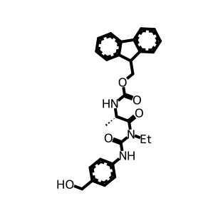 CCN(C(=O)Nc1ccc(CO)cc1)C(=O)[C@H](C)NC(=O)OCC1c2ccccc2-c2ccccc21